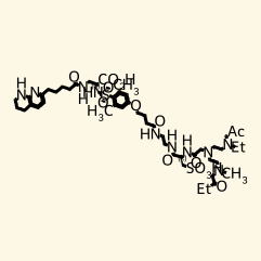 CCC(=O)CN(C)CCN(CCN(CC)CC(C)=O)CC(=O)N[C@@H](CS(=O)(=O)O)C(=O)NCCNC(=O)CCCOc1cc(C)c(S(=O)(=O)N[C@H](CNC(=O)CCCCc2ccc3c(n2)NCCC3)C(=O)O)c(C)c1